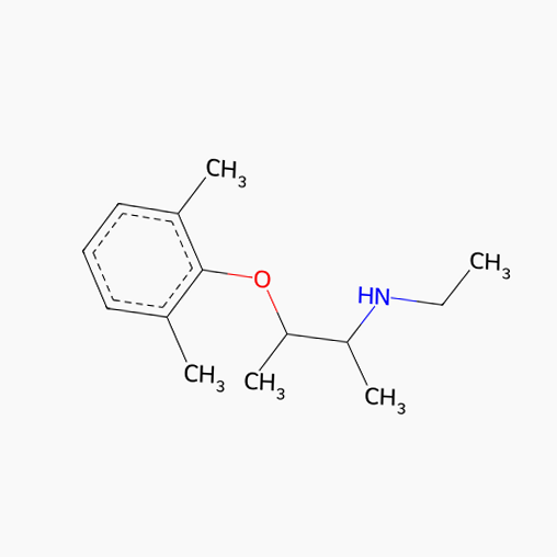 CCNC(C)C(C)Oc1c(C)cccc1C